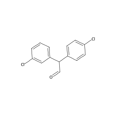 O=CC(c1ccc(Cl)cc1)c1cccc(Cl)c1